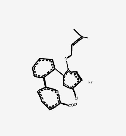 CC(C)=CCOc1ccc(Cl)cc1-c1ccccc1-c1cccc(C(=O)[O-])n1.[Na+]